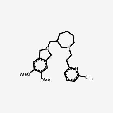 COc1cc2c(cc1OC)CN(CC1CCCCN(CCc3cccc(C)n3)C1)C2